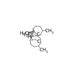 CC1CCC2PC3(CC1CCC2C)PC1CCC(C)C3CCC1C